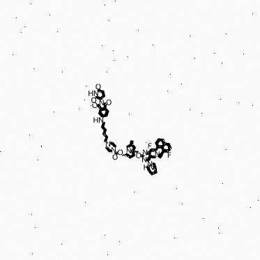 C#Cc1c(F)ccc2cccc(-c3ncc4c(N5CC6CCC(C5)N6)nc(OC[C@@]56CC[C@@H](COC(=O)N7CCN(CCCCCCNc8ccc9c(c8)C(=O)N(C8CCC(=O)NC8=O)C9=O)CC7)N5CC(=C)C6)nc4c3F)c12